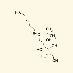 CCC.CCCCCCNOC[C@H](O)[C@@H](O)[C@H](O)[C@H](O)CO